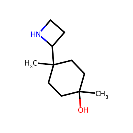 CC1(O)CCC(C)(C2CCN2)CC1